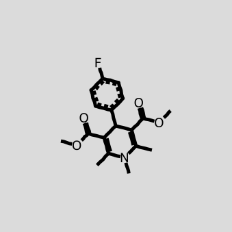 COC(=O)C1=C(C)N(C)C(C)=C(C(=O)OC)C1c1ccc(F)cc1